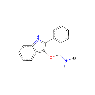 CCN(C)COc1c(-c2ccccc2)[nH]c2ccccc12